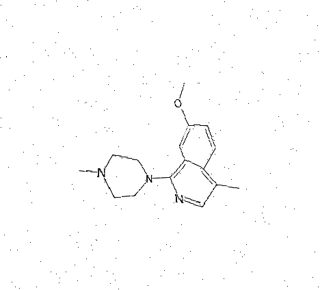 COc1ccc2c(C)cnc(N3CCN(C)CC3)c2c1